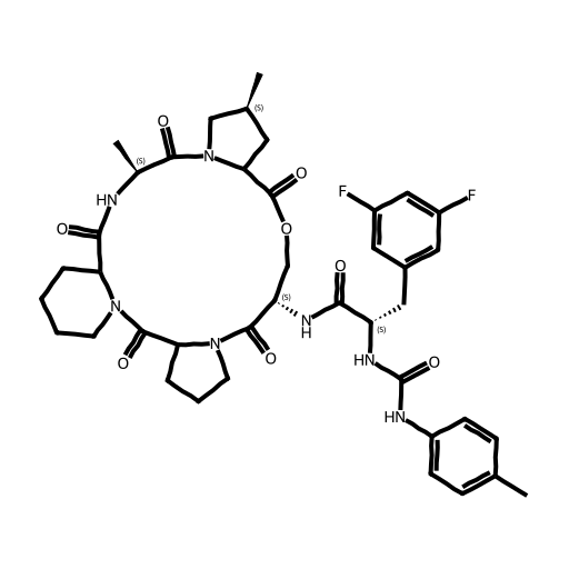 Cc1ccc(NC(=O)N[C@@H](Cc2cc(F)cc(F)c2)C(=O)N[C@H]2COC(=O)C3C[C@H](C)CN3C(=O)[C@H](C)NC(=O)C3CCCCN3C(=O)C3CCCN3C2=O)cc1